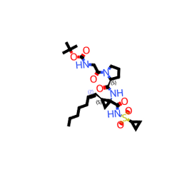 CCCCC/C=C\[C@@H]1C[C@]1(NC(=O)[C@@H]1CCCN1C(=O)CNC(=O)OC(C)(C)C)C(=O)NS(=O)(=O)C1CC1